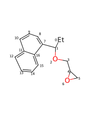 CCC(OCC1CO1)c1cccc2ccccc12